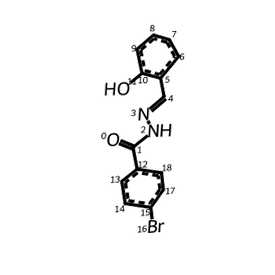 O=C(NN=Cc1ccccc1O)c1ccc(Br)cc1